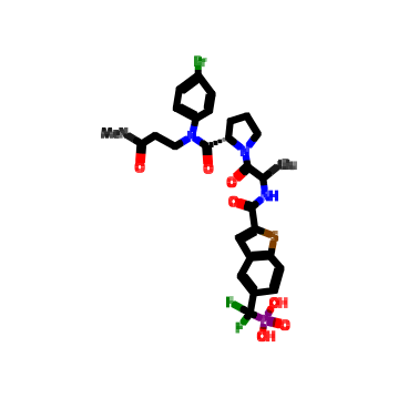 CNC(=O)CCN(C(=O)[C@@H]1CCCN1C(=O)C(NC(=O)c1cc2cc(C(F)(F)P(=O)(O)O)ccc2s1)C(C)(C)C)c1ccc(Br)cc1